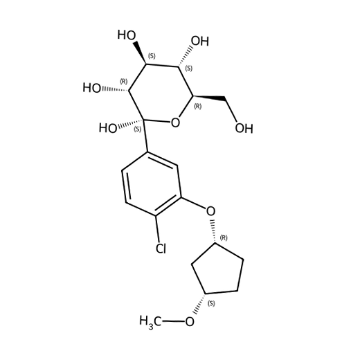 CO[C@H]1CC[C@@H](Oc2cc([C@]3(O)O[C@H](CO)[C@@H](O)[C@H](O)[C@H]3O)ccc2Cl)C1